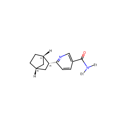 CCN(CC)C(=O)c1ccc([C@@H]2C[C@@H]3CC[C@H]2C3)nc1